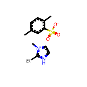 CCc1[nH]cc[n+]1C.Cc1ccc(C)c(S(=O)(=O)[O-])c1